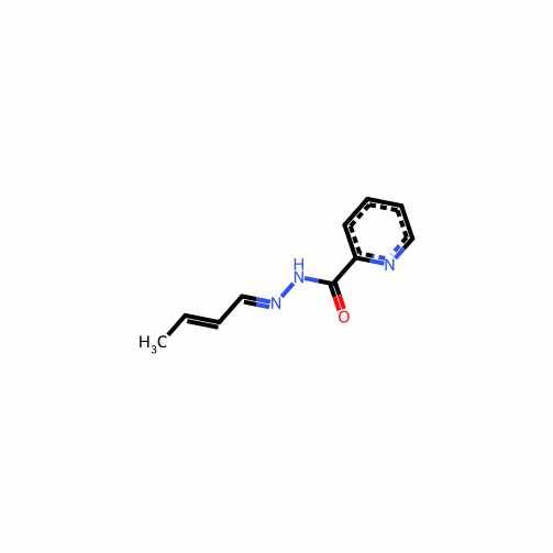 C/C=C/C=N/NC(=O)c1ccccn1